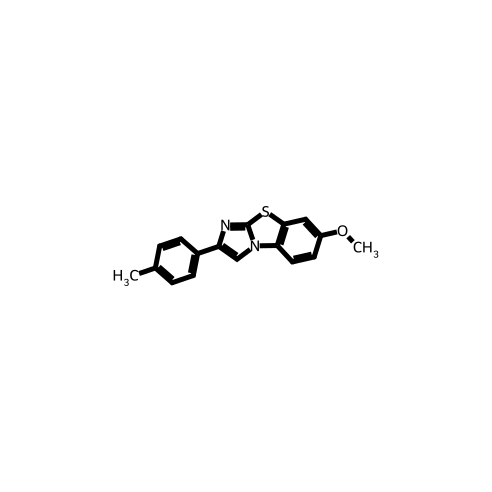 COc1ccc2c(c1)sc1nc(-c3ccc(C)cc3)cn12